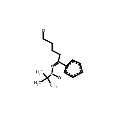 CC(C)(C)[S+]([O-])/N=C(/CCCCCl)c1ccccc1